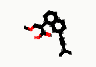 COC=C(C(=O)O)c1cccc2ccc(C#CC(C)C)cc12